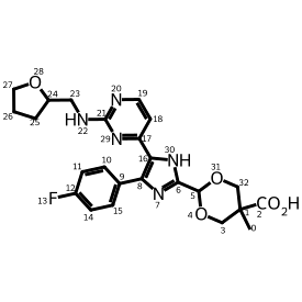 CC1(C(=O)O)COC(c2nc(-c3ccc(F)cc3)c(-c3ccnc(NCC4CCCO4)n3)[nH]2)OC1